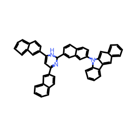 C1=C(c2ccc3ccccc3c2)NC(c2ccc3ccc(-n4c5ccccc5c5cc6ccccc6cc54)cc3c2)N=C1c1ccc2ccccc2c1